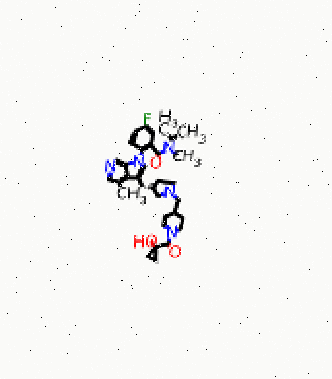 Cc1cncc2c1c(C[C@@H]1CCN(CC3CCN(C(=O)C4(O)CC4)CC3)C1)cn2-c1ccc(F)cc1C(=O)N(C)C(C)C